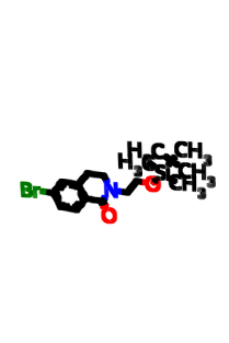 CC(C)(C)[Si](C)(C)OCCN1CCc2cc(Br)ccc2C1=O